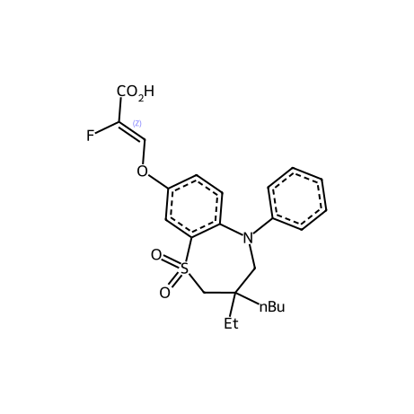 CCCCC1(CC)CN(c2ccccc2)c2ccc(O/C=C(\F)C(=O)O)cc2S(=O)(=O)C1